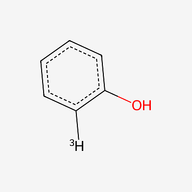 [3H]c1ccccc1O